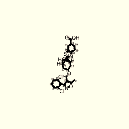 Cc1onc(-c2c(Cl)cccc2Cl)c1CO[C@H]1C[C@H]2C[C@H](C)[C@@H](C1)[C@]2(O)c1nc2ccc(C(=O)O)cc2s1